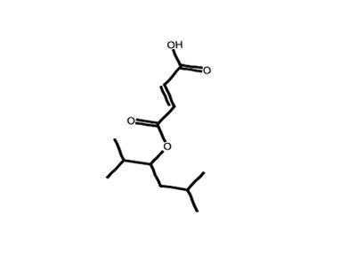 CC(C)CC(OC(=O)C=CC(=O)O)C(C)C